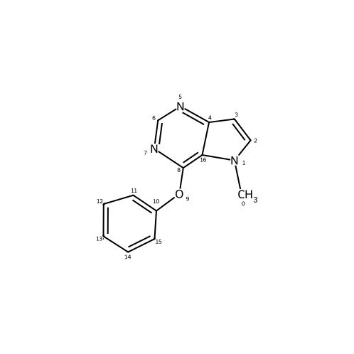 Cn1ccc2ncnc(Oc3cc[c]cc3)c21